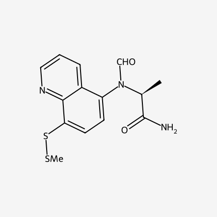 CSSc1ccc(N(C=O)[C@@H](C)C(N)=O)c2cccnc12